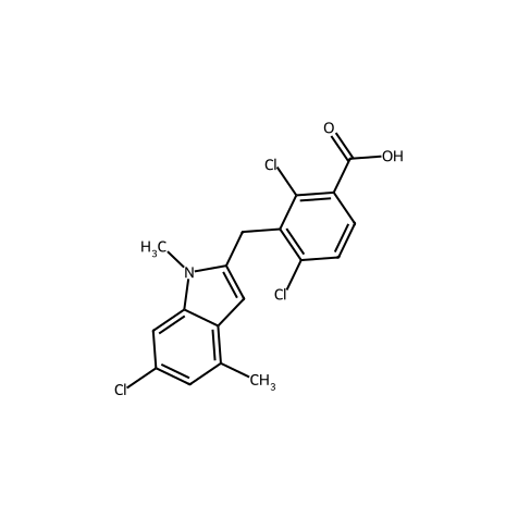 Cc1cc(Cl)cc2c1cc(Cc1c(Cl)ccc(C(=O)O)c1Cl)n2C